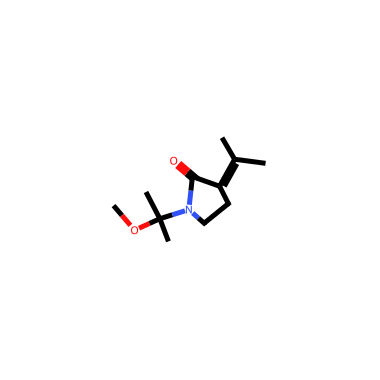 COC(C)(C)N1CCC(=C(C)C)C1=O